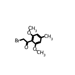 COc1cc(C)cc(OC)c1C(=O)CBr